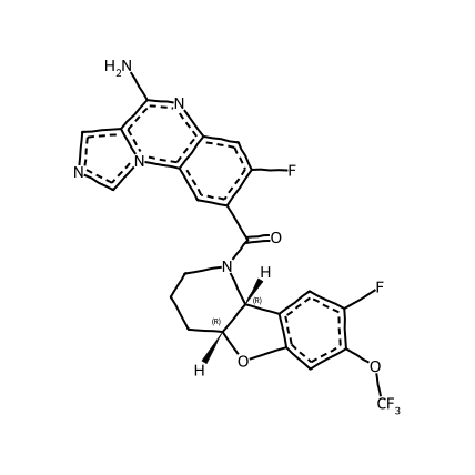 Nc1nc2cc(F)c(C(=O)N3CCC[C@H]4Oc5cc(OC(F)(F)F)c(F)cc5[C@H]43)cc2n2cncc12